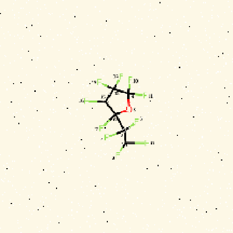 F[C](F)C(F)(F)C1(F)OC(F)(F)C(F)(F)[C]1F